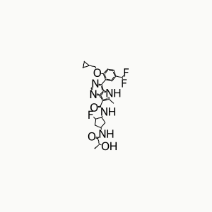 Cc1[nH]c2c(-c3cc(C(F)F)ccc3OCC3CC3)ncnc2c1C(=O)NC1CC(NC(=O)[C@H](C)O)CC1F